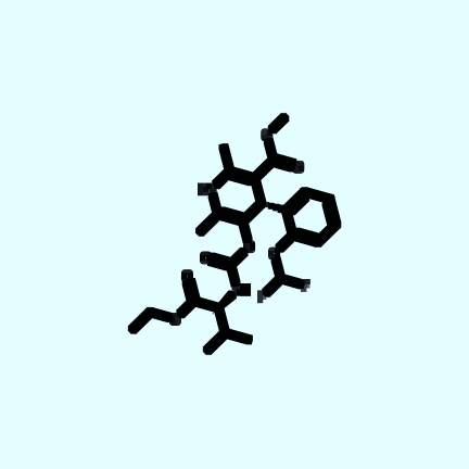 CCOC(=O)[C@@H](NC(=O)OC1=C(C)NC(C)=C(C(=O)OC)[C@@H]1c1ccccc1OC(F)F)C(C)C